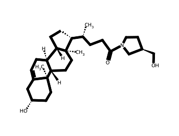 C[C@H](CCC(=O)N1CC[C@@H](CO)C1)[C@H]1CC[C@H]2[C@@H]3CC=C4C[C@@H](O)CC[C@]4(C)[C@H]3CC[C@]12C